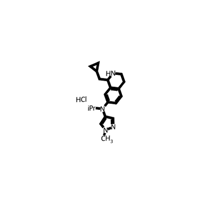 CC(C)N(c1ccc2c(c1)C(CC1CC1)NCC2)c1cnn(C)c1.Cl